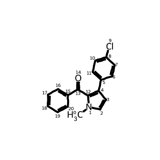 Cn1ccc(-c2ccc(Cl)cc2)c1C(=O)c1ccccc1